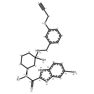 C#CCOc1cccc(CNC2(S)CCC[C@H](N(CC)C(=O)c3nc4cc(N)ccc4[nH]3)C2)c1